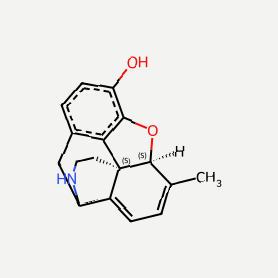 CC1=CC=C2C3Cc4ccc(O)c5c4[C@@]2(CCN3)[C@H]1O5